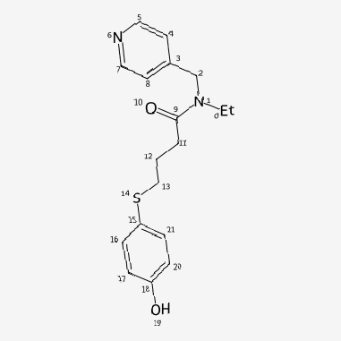 CCN(Cc1ccncc1)C(=O)CCCSc1ccc(O)cc1